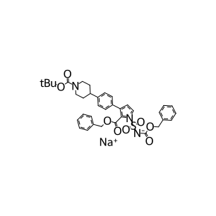 CC(C)(C)OC(=O)N1CCC(c2ccc(-c3ccn(S(=O)(=O)[N-]C(=O)OCc4ccccc4)c3C(=O)OCc3ccccc3)cc2)CC1.[Na+]